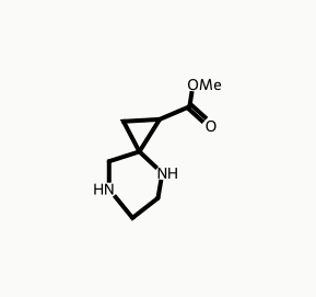 COC(=O)C1CC12CNCCN2